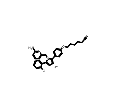 Cl.N#CCCCCCOc1ccc(-c2ccc(-c3ccccc3Cl)n2Cc2cccc(N)n2)cc1